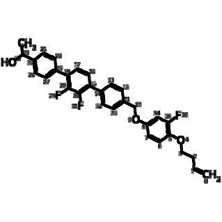 C=CCCOc1ccc(OCc2ccc(-c3ccc(-c4ccc(C(C)O)cc4)c(F)c3F)cc2)cc1F